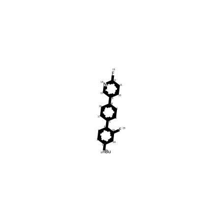 CCCCc1ccc(-c2ccc(-c3ccc(F)nc3)cc2)c(F)c1